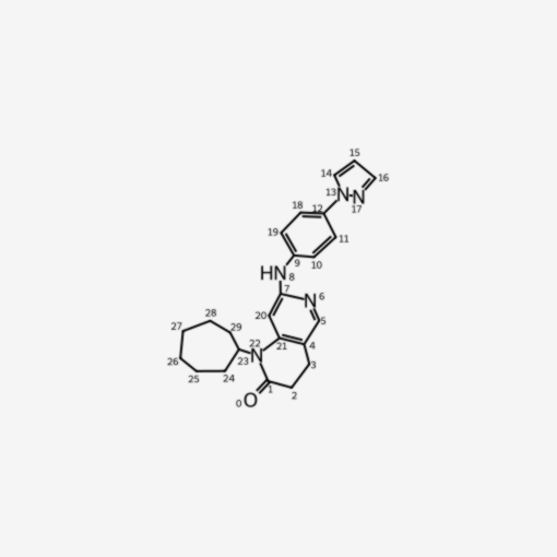 O=C1CCc2cnc(Nc3ccc(-n4cccn4)cc3)cc2N1C1CCCCCC1